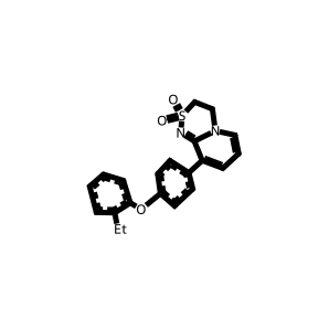 CCc1ccccc1Oc1ccc(C2=CC=CN3CCS(=O)(=O)N=C23)cc1